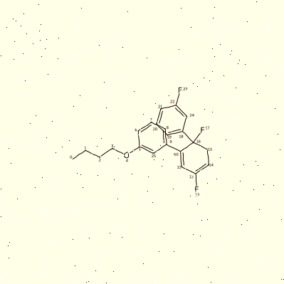 CCCCOc1cccc(C2=CC(F)=CCC2(F)c2cccc(F)c2)c1